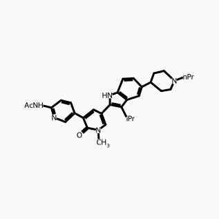 CCCN1CCC(c2ccc3[nH]c(-c4cc(-c5ccc(NC(C)=O)nc5)c(=O)n(C)c4)c(C(C)C)c3c2)CC1